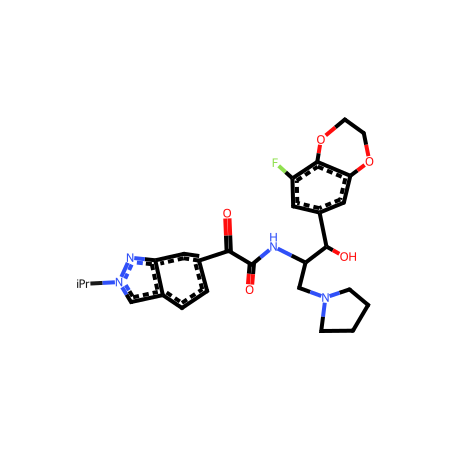 CC(C)n1cc2ccc(C(=O)C(=O)NC(CN3CCCC3)C(O)c3cc(F)c4c(c3)OCCO4)cc2n1